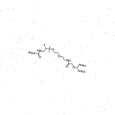 CCCCCCC(CCCCCC)OCC(=O)NCCOCCOC(C)(C)C(F)CNC(=O)C(C)CCC